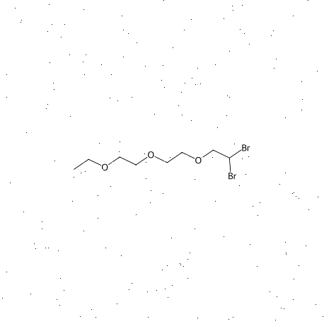 CCOCCOCCOCC(Br)Br